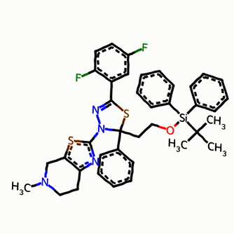 CN1CCc2nc(N3N=C(c4cc(F)ccc4F)SC3(CCO[Si](c3ccccc3)(c3ccccc3)C(C)(C)C)c3ccccc3)sc2C1